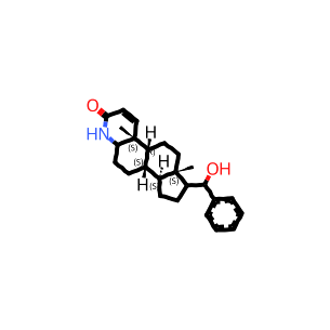 C[C@]12C=CC(=O)NC1CC[C@@H]1[C@H]2CC[C@]2(C)C(C(O)c3ccccc3)CC[C@@H]12